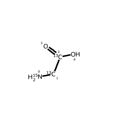 [15NH2][13CH2][13C](=O)O